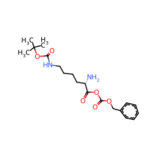 CC(C)(C)OC(=O)NCCCC[C@H](N)C(=O)OC(=O)OCc1ccccc1